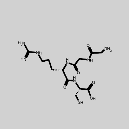 N=C(N)NCCC[C@H](NC(=O)CNC(=O)CN)C(=O)N[C@@H](CS)C(=O)O